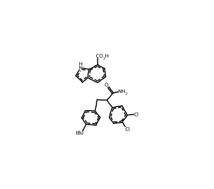 CC(C)(C)c1ccc(CC(C(N)=O)c2ccc(Cl)c(Cl)c2)cc1.O=C(O)c1cccc2cc[nH]c12